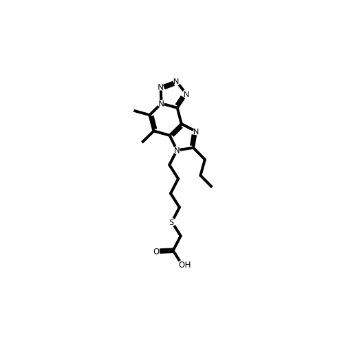 CCCc1nc2c(c(C)c(C)n3nnnc23)n1CCCCSCC(=O)O